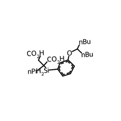 CCCCC(CCCC)Oc1cccc([SiH2]C(CCC)(CC(=O)O)C(=O)O)c1